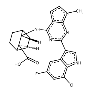 Cn1ccc2c(N[C@H]3C4CCC(CC4)[C@@H]3C(=O)O)nc(-c3c[nH]c4c(Cl)cc(F)cc34)nc21